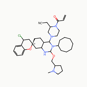 C=CC(=O)N1CCN(C2C3CC[C@@]4(CC(Cl)c5ccccc5O4)CC3NC(OCC3CCCN3C)N2C2CCCCCCC2)CC1CC#N